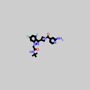 CC(C)(C)NC(=O)Cn1nc(C2CN(C(=O)c3ccnc(N)c3)C2)c2c(F)cc(F)cc21